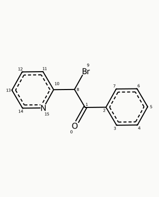 O=C(c1ccccc1)C(Br)c1ccccn1